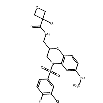 CCC1(C(=O)NCC2CN(S(=O)(=O)c3ccc(F)c(Cl)c3)c3cc(NC(=O)O)ccc3O2)COC1